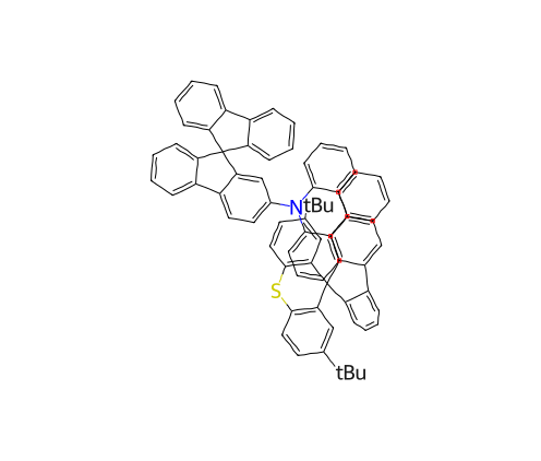 CC(C)(C)c1ccc2c(c1)C1(c3cc(C(C)(C)C)ccc3S2)c2ccccc2-c2ccc(-c3ccccc3N(c3ccc4c(c3)C3(c5ccccc5-c5ccccc53)c3ccccc3-4)c3ccccc3-c3ccccc3)cc21